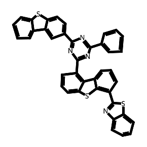 c1ccc(-c2nc(-c3ccc4sc5ccccc5c4c3)nc(-c3cccc4sc5c(-c6nc7ccccc7s6)cccc5c34)n2)cc1